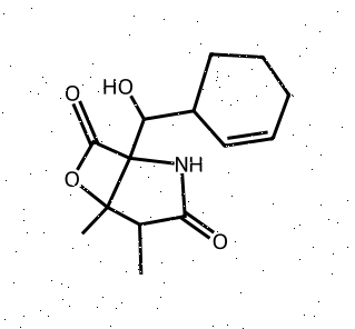 CC1C(=O)NC2(C(O)C3C=CCCC3)C(=O)OC12C